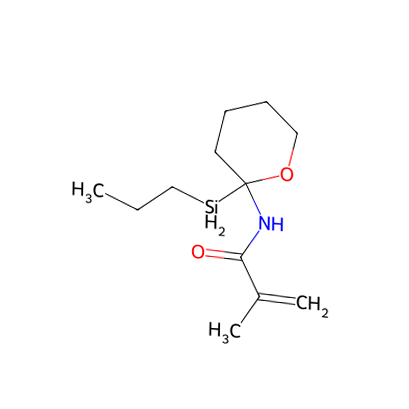 C=C(C)C(=O)NC1([SiH2]CCC)CCCCO1